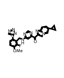 COc1ccc(-n2cnnn2)c(CNc2cc(C(=O)c3cn4cc(C5CC5)ccc4n3)ncn2)c1F